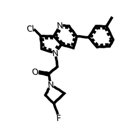 Cc1cccc(-c2cnc3c(Cl)cn(CC(=O)N4CC(F)C4)c3c2)c1